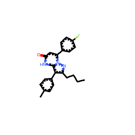 CCCCc1nn2c(-c3ccc(F)cc3)cc(=O)[nH]c2c1-c1ccc(C)cc1